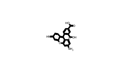 N=c1ccc2c(-c3ccc(C(=O)O)cc3C(=O)O)c3ccc(N)cc3oc-2c1